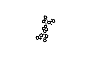 Cc1ccccc1-c1ccc(N(c2cc3ccc4cc(N(c5ccc6c(c5)C(C)(C)c5ccccc5-6)c5cccc6c5oc5ccccc56)cc5ccc(c2)c3c45)c2cccc3c2oc2ccccc23)cc1C